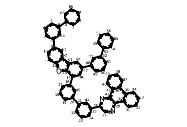 c1ccc(-c2cccc(-c3ccc4oc5c(-c6cccc(-c7cccc(-c8cnc9c%10ccccc%10c%10ccccc%10c9n8)c7)c6)cc(-c6cccc(-c7ccccc7)c6)cc5c4c3)c2)cc1